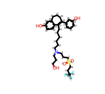 O=S(=O)(CCCN(CCCO)CCCCCCC1=C(c2cccc(O)c2)CCCc2cc(O)ccc21)CCC(F)(F)F